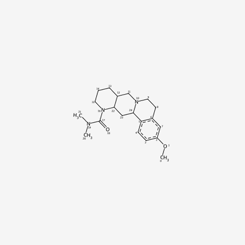 COc1ccc2c(c1)CCN1CC3CCCN(C(=O)N(C)C)C3CC21